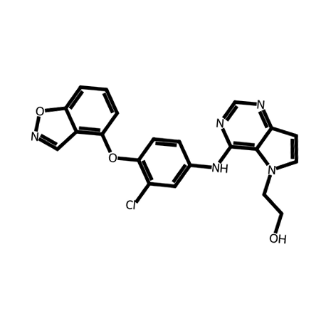 OCCn1ccc2ncnc(Nc3ccc(Oc4cccc5oncc45)c(Cl)c3)c21